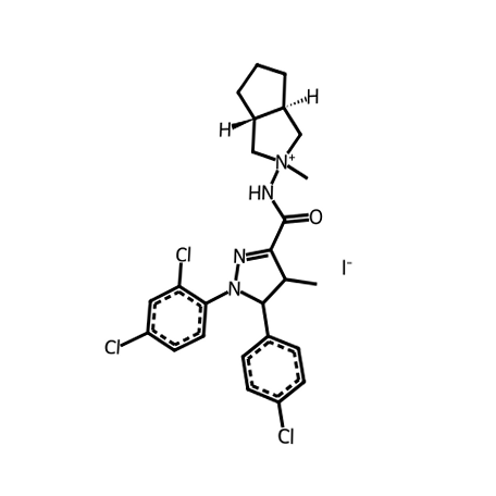 CC1C(C(=O)N[N+]2(C)C[C@@H]3CCC[C@H]3C2)=NN(c2ccc(Cl)cc2Cl)C1c1ccc(Cl)cc1.[I-]